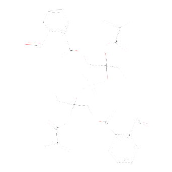 C=C(C)C(=O)OC(CC)(COC(=O)c1ccccc1C=O)OP(=O)(O)OC(CC)(COC(=O)c1ccccc1C=O)OC(=O)C(=C)C